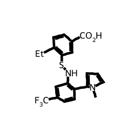 CCc1ccc(C(=O)O)cc1SNc1cc(C(F)(F)F)ccc1-c1cccn1C